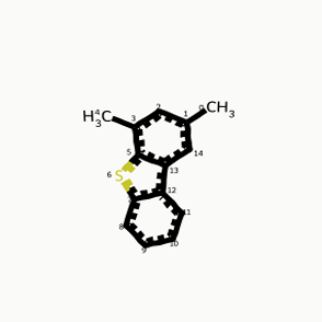 Cc1cc(C)c2sc3ccccc3c2c1